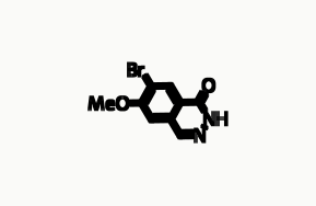 COc1cc2cn[nH]c(=O)c2cc1Br